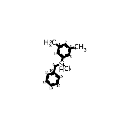 Cc1cc(C)cc([SiH](Cl)Cc2ccccc2)c1